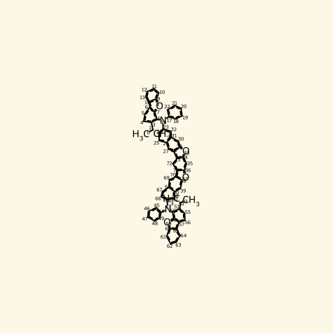 CC(C)c1ccc2c(oc3ccccc32)c1N(c1ccccc1)c1ccc2cc3c(cc2c1)oc1cc2oc4cc5cc(N(c6ccccc6)c6c(C(C)C)ccc7c6oc6ccccc67)ccc5cc4c2cc13